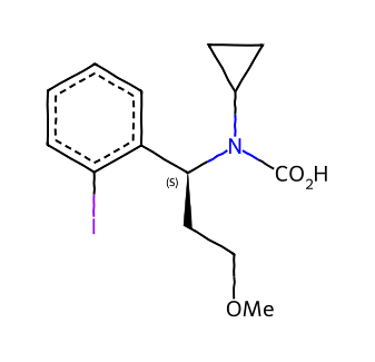 COCC[C@@H](c1ccccc1I)N(C(=O)O)C1CC1